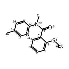 CCSc1ccccc1C(=O)N(C)c1ccc(C)cn1